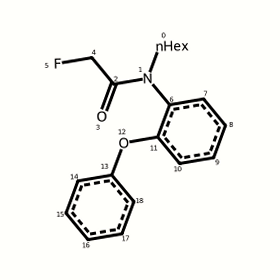 CCCCCCN(C(=O)CF)c1ccccc1Oc1ccccc1